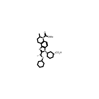 COC(=O)N1c2ccc3c(nc([C@@H](C)OC4CCCCC4)n3[C@@H]3CCC[C@@H](C(=O)O)C3)c2CCC1C